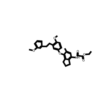 CCOC(=O)C(=O)Nc1cc(C)c(Oc2ccc(OC)c(CCc3cccc(OC)c3)c2)c2c1CCC2